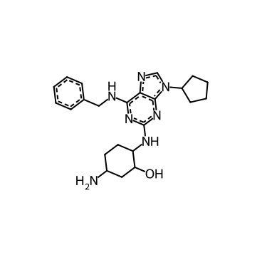 NC1CCC(Nc2nc(NCc3ccccc3)c3ncn(C4CCCC4)c3n2)C(O)C1